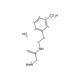 CNCC(=O)NCCc1cccc(C(=O)O)c1.Cl